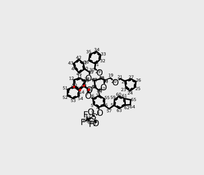 O=S(=O)(Oc1cc(OCc2ccccc2)c([C@@H]2O[C@H](COCc3ccccc3)[C@@H](OCc3ccccc3)[C@H](OCc3ccccc3)[C@H]2OCc2ccccc2)cc1Cc1ccc2c(c1)CC2)C(F)(F)F